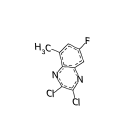 Cc1cc(F)cc2nc(Cl)c(Cl)nc12